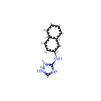 c1ccc2cc(Nc3nc[nH]n3)ccc2c1